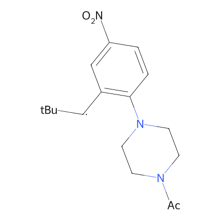 CC(=O)N1CCN(c2ccc([N+](=O)[O-])cc2[CH]C(C)(C)C)CC1